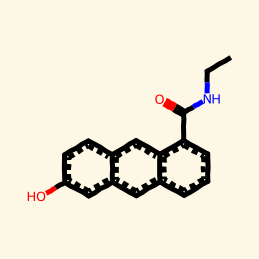 CCNC(=O)c1cccc2cc3cc(O)ccc3cc12